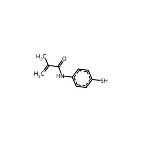 C=C(C)C(=O)Nc1ccc(S)cc1